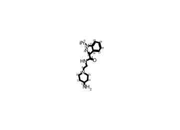 CC(C)n1nc(C(=O)NCCN2CCC(N)CC2)c2ccccc21